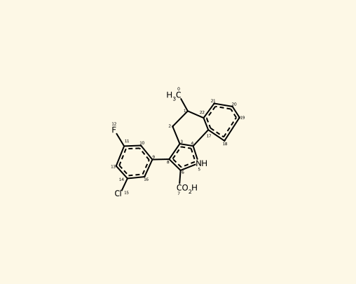 CC1Cc2c([nH]c(C(=O)O)c2-c2cc(F)cc(Cl)c2)-c2ccccc21